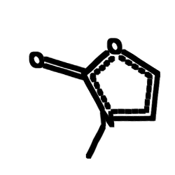 Cn1ccoc1=O